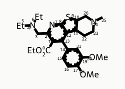 CCOC(=O)c1c(CN(CC)CC)nc2sc3c(c2c1-c1ccc(OC)c(OC)c1)CCN(C)C3